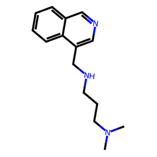 CN(C)CCCNCc1cncc2ccccc12